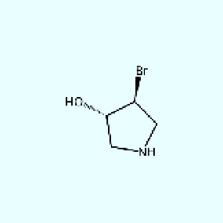 O[C@H]1CNC[C@@H]1Br